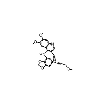 COCC#Cc1cc(Nc2c(C#N)cnc3cc(OC)c(OC)cc23)c2c(c1)OCO2